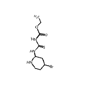 CCOC(=O)NC(=S)NC1CC(Br)CCN1